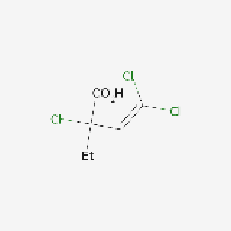 CCC(Cl)(C=C(Cl)Cl)C(=O)O